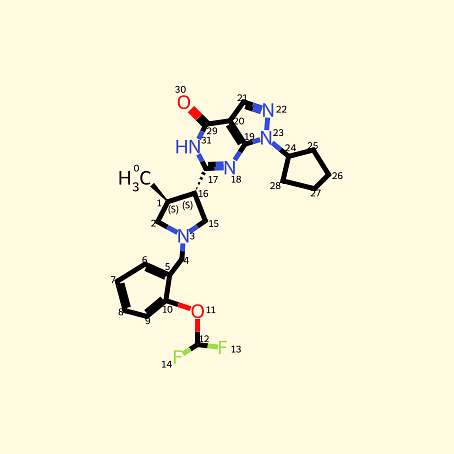 C[C@@H]1CN(Cc2ccccc2OC(F)F)C[C@H]1c1nc2c(cnn2C2CCCC2)c(=O)[nH]1